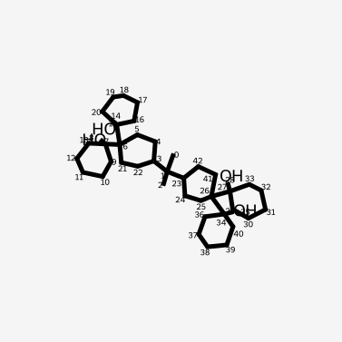 CC(C)(C1CCC(C2(O)CCCCC2)(C2(O)CCCCC2)CC1)C1CCC(C2(O)CCCCC2)(C2(O)CCCCC2)CC1